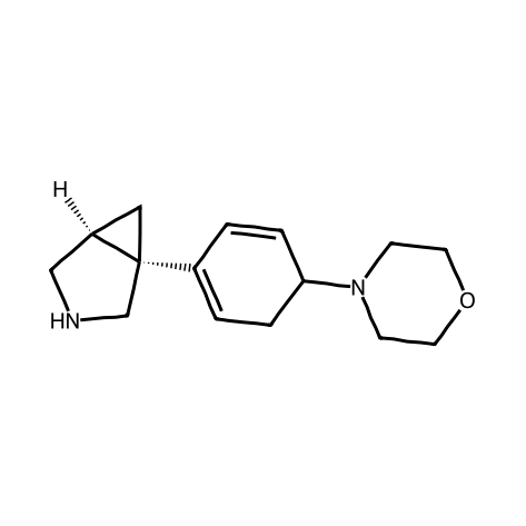 C1=CC(N2CCOCC2)CC=C1[C@]12CNC[C@H]1C2